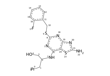 CC(C)CC(CO)Nc1nc(SCc2ccccc2F)nc2nc(N)sc12